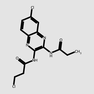 CCC(=O)Nc1nc2cc(Cl)ccc2nc1NC(=O)CCCl